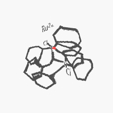 ClP(C1CCCCC1)(C1CCCCC1)(C1CCCCC1)C(c1ccccc1)P(Cl)(C1CCCCC1)(C1CCCCC1)C1CCCCC1.[Ru+2]